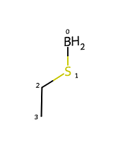 BSCC